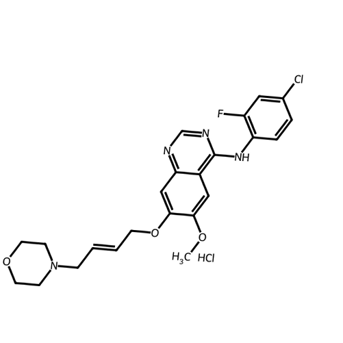 COc1cc2c(Nc3ccc(Cl)cc3F)ncnc2cc1OCC=CCN1CCOCC1.Cl